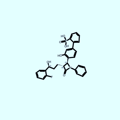 O=C1[C@H](CC[C@H](O)c2ccccc2F)[C@@H](c2ccc(-c3ccccc3P(=O)(O)O)cc2O)N1c1ccccc1